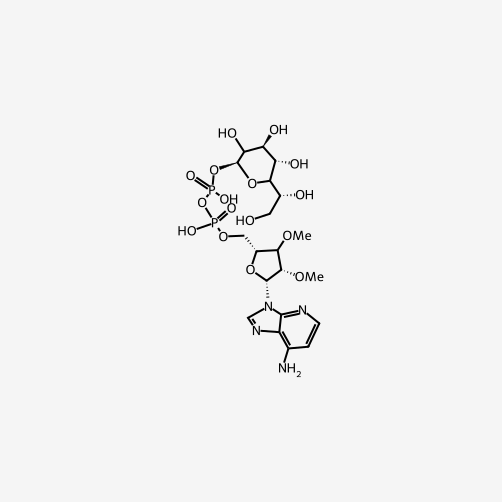 COC1[C@@H](COP(=O)(O)OP(=O)(O)O[C@@H]2OC([C@H](O)CO)[C@@H](O)[C@H](O)C2O)O[C@@H](n2cnc3c(N)ccnc32)[C@H]1OC